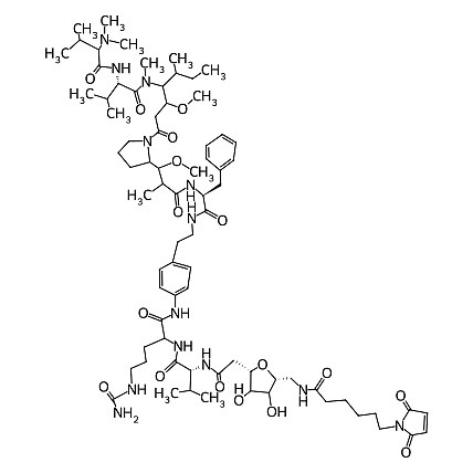 CCC(C)C(C(CC(=O)N1CCCC1C(OC)C(C)C(=O)N[C@@H](Cc1ccccc1)C(=O)NCCc1ccc(NC(=O)C(CCCNC(N)=O)NC(=O)[C@H](NC(=O)C[C@@H]2O[C@H](CNC(=O)CCCCCN3C(=O)C=CC3=O)C(O)C2O)C(C)C)cc1)OC)N(C)C(=O)[C@@H](NC(=O)C(C(C)C)N(C)C)C(C)C